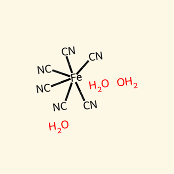 N#[C][Fe]([C]#N)([C]#N)([C]#N)([C]#N)[C]#N.O.O.O